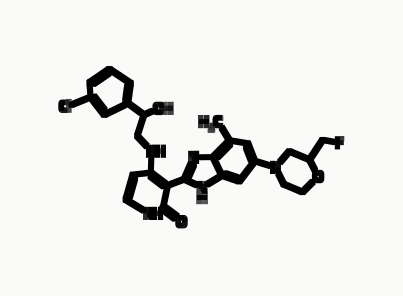 Cc1cc(N2CCOC(CF)C2)cc2[nH]c(-c3c(NCC(O)c4cccc(Cl)c4)cc[nH]c3=O)nc12